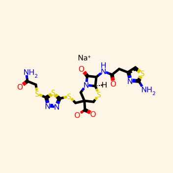 NC(=O)CSc1nnc(SCC2(C(=O)[O-])CS[C@@H]3C(NC(=O)Cc4csc(N)n4)C(=O)N3C2)s1.[Na+]